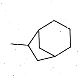 C[C]1CC2CCCC1C2